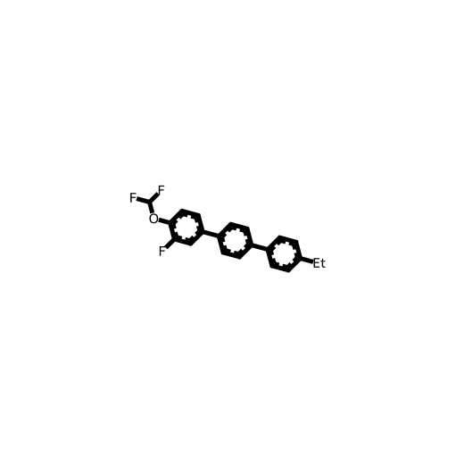 CCc1ccc(-c2ccc(-c3ccc(OC(F)F)c(F)c3)cc2)cc1